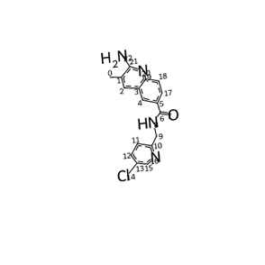 Cc1cc2cc(C(=O)NCc3ccc(Cl)cn3)ccc2nc1N